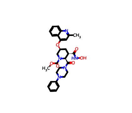 COC(=O)N1C[C@@H](Oc2cc(C)nc3ccccc23)C[C@H](C(=O)NO)[C@H]1C(=O)N1CCN(c2ccccc2)CC1